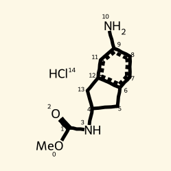 COC(=O)NC1Cc2ccc(N)cc2C1.Cl